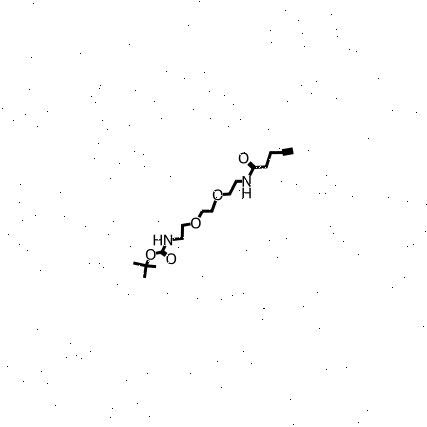 C#CCCC(=O)NCCOCCOCCNC(=O)OC(C)(C)C